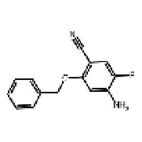 N#Cc1cc(F)c(N)cc1OCc1ccccc1